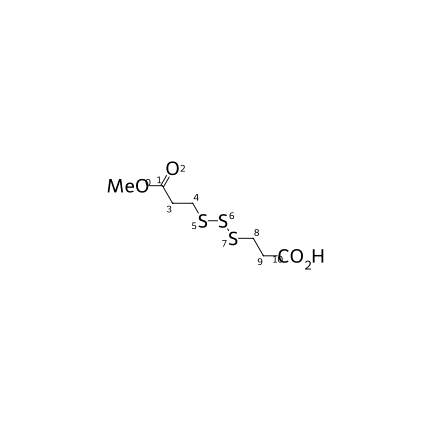 COC(=O)CCSSSCCC(=O)O